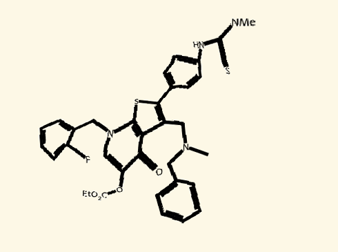 CCOC(=O)Oc1cn(Cc2ccccc2F)c2sc(-c3ccc(NC(=S)NC)cc3)c(CN(C)Cc3ccccc3)c2c1=O